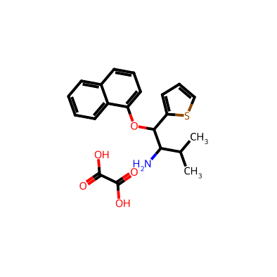 CC(C)C(N)C(Oc1cccc2ccccc12)c1cccs1.O=C(O)C(=O)O